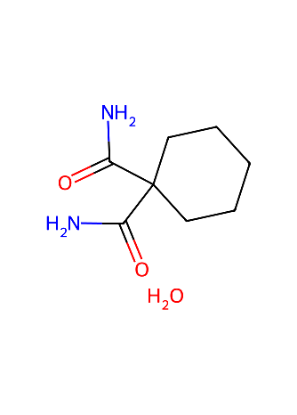 NC(=O)C1(C(N)=O)CCCCC1.O